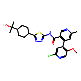 COc1cnc(Cl)cc1-c1cc(C)ncc1C(=O)Nc1nnc(C2CCC(C(C)(C)O)CC2)s1